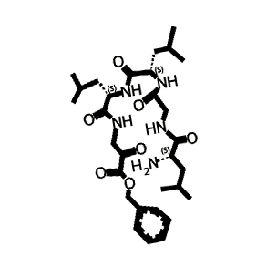 CC(C)C[C@H](NC(=O)CNC(=O)[C@@H](N)CC(C)C)C(=O)N[C@@H](CC(C)C)C(=O)NCC(=O)C(=O)OCc1ccccc1